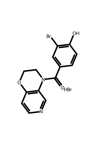 Br.O=C(c1ccc(O)c(Br)c1)N1CCOc2ccncc21